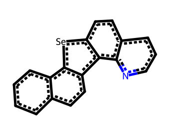 c1ccc2c(c1)ccc1c2[se]c2ccc3cccnc3c21